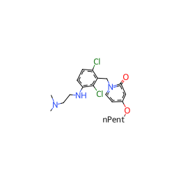 CCCCCOc1ccn(Cc2c(Cl)ccc(NCCN(C)C)c2Cl)c(=O)c1